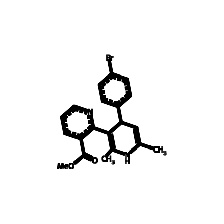 COC(=O)c1cccnc1C1=C(C)NC(C)=CC1c1ccc(Br)cc1